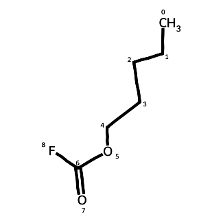 CCCCCOC(=O)F